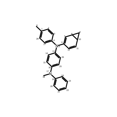 Cc1ccc(N(C2=CC3CC3C=C2)c2ccc(N(C)c3ccccc3)cc2)cc1